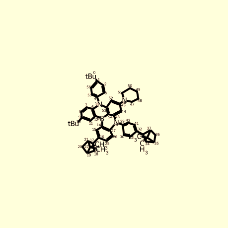 CC(C)(C)c1ccc(N2c3ccc(C(C)(C)C)cc3B3c4cc(C5CC6CC5C6(C)C)ccc4N(c4ccc(C5CC6CC5C6(C)C)cc4)c4cc(N5CCCCC5)cc2c43)cc1